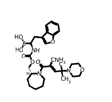 CC(C)(C=C(C#N)C(=O)N1CCCCC[C@@H]1COC(=O)NC(Cc1coc2ccccc12)B(O)O)N1CCOCC1